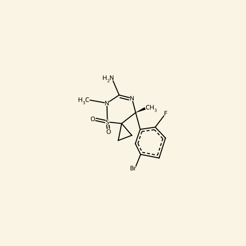 CN1C(N)=N[C@](C)(c2cc(Br)ccc2F)C2(CC2)S1(=O)=O